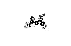 CC(C)(c1cc(-c2cccc(-c3sc(C(=O)O)nc3-c3ccc(S(C)(=O)=O)cc3)c2)c2ncccc2c1)S(C)(=O)=O